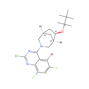 CC(C)(C)[Si](C)(C)O[C@@H]1C[C@H]2C[C@@H]1CN(c1nc(Cl)nc3c(F)cc(F)c(Br)c13)C2